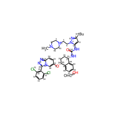 CN1CCN(CCn2nc(C(C)(C)C)cc2NC(=O)N[C@H]2CC[C@@H](Oc3ccc4nnc(-c5c(Cl)cccc5Cl)n4c3)c3ccccc32)CC1.O=CO